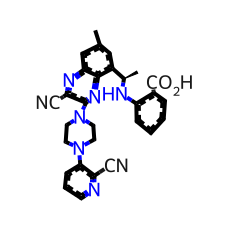 Cc1cc([C@@H](C)Nc2ccccc2C(=O)O)c2nc(N3CCN(c4cccnc4C#N)CC3)c(C#N)nc2c1